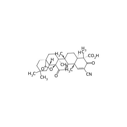 CC1(C)CC[C@@]23CC[C@@]4(C)[C@]5(C)CC[C@H]6[C@](C)(C(=O)O)C(=O)C(C#N)=C[C@]6(C)C5=CC(=O)[C@]4(OC2=O)[C@@H]3C1